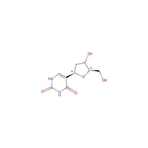 O=c1[nH]cc([C@H]2CC(O)[C@@H](CO)O2)c(=O)[nH]1